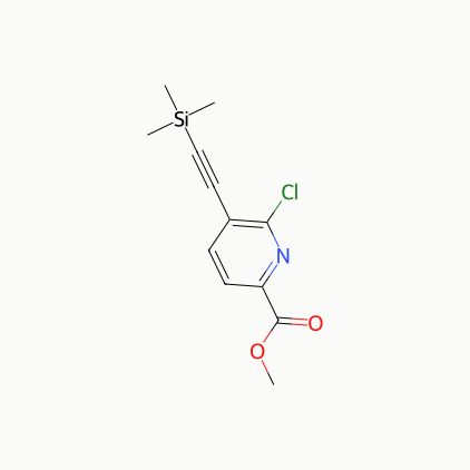 COC(=O)c1ccc(C#C[Si](C)(C)C)c(Cl)n1